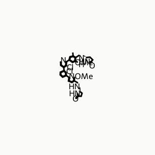 COc1cc(-c2nccc(-c3cccc(-c4ccc(CNC[C@H]5CCC(=O)N5)c(OC)n4)c3Cl)c2Cl)cc(C)c1CNC[C@@H]1CCC(=O)N1